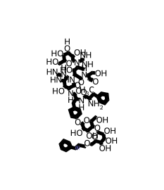 CC(c1ccccc1)C(N)C(=O)NC(Cc1ccc(OC2OC(CO)C(OC3OC(COC/C=C/c4ccccc4)C(O)C(O)C3O)C(O)C2O)cc1)C(=O)NC(C(=O)NC(C(=O)NC([C]=O)CO)C(O)C1CNC(=N)N1C1OC(CO)C(O)C(O)C1O)C(O)C1CNC(=N)N1